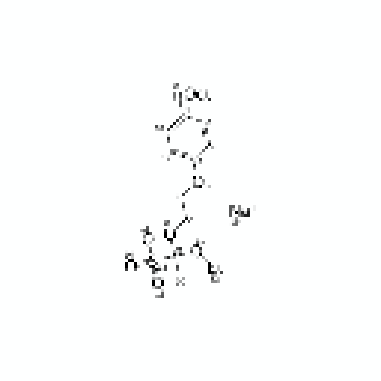 CCCCCCCCc1ccc(OCCOC(C)(OCC)S(=O)(=O)[O-])cc1.[Na+]